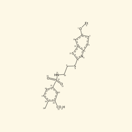 CCOc1ccc2nc(SCCNS(=O)(=O)c3ccc(C)c(C(=O)O)c3)sc2c1